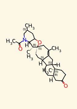 CC(=O)N1C[C@@H](C)CC2O[C@]3(CC[C@@H]4C(=C(C)C3)C[C@H]3C4CC[C@@H]4CC(=O)CC[C@@]43C)[C@H](C)[C@@H]21